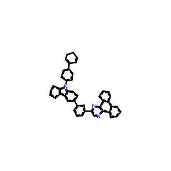 C1=CC(c2ccc(-n3c4ccccc4c4cc(-c5cccc(-c6cnc7c8ccccc8c8ccccc8c7n6)c5)ccc43)cc2)=CCC1